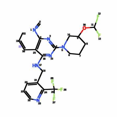 C=Nc1nc(N2CCCC(OC(F)F)C2)nc(NCc2cccnc2C(F)(F)F)c1/C=C\C